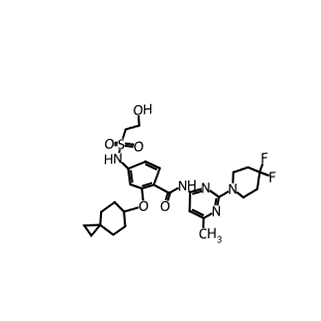 Cc1cc(NC(=O)c2ccc(NS(=O)(=O)CCO)cc2OC2CCC3(CC2)CC3)nc(N2CCC(F)(F)CC2)n1